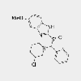 COc1ccc2[nH]c([S+]([O-])C(c3ccccn3)N3CCCC(Cl)C3)nc2c1